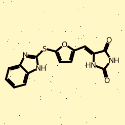 O=C1NC(=O)C(=Cc2ccc(Sc3nc4ccccc4[nH]3)o2)N1